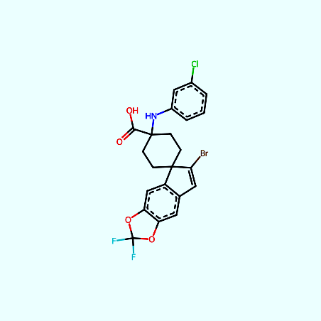 O=C(O)C1(Nc2cccc(Cl)c2)CCC2(CC1)C(Br)=Cc1cc3c(cc12)OC(F)(F)O3